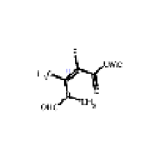 COC(=O)/C(F)=C(/C)N(C)C=O